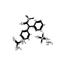 CN(C)C(=O)C(c1ccccc1)c1ccccc1.CS(C)(=O)=O.N.NC(N)=O